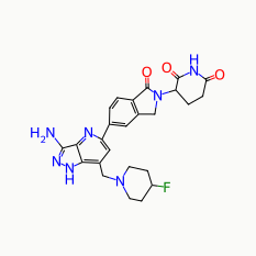 Nc1n[nH]c2c(CN3CCC(F)CC3)cc(-c3ccc4c(c3)CN(C3CCC(=O)NC3=O)C4=O)nc12